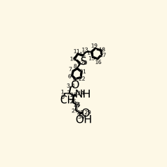 CC[C@@H](COc1ccc(-c2ccc(Cc3ccccc3)s2)cc1)C(=N)CCCC(=O)O